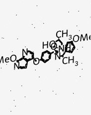 COc1ccc([C@@H](C)N=[S@@](=O)(NC[C@@H](C)O)c2ccc(Oc3ccnc4c(OC)nccc34)cc2)cc1